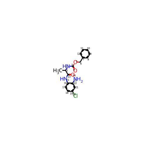 CC(NC(=O)OCc1ccccc1)C(=O)Nc1ccc(Cl)cc1N